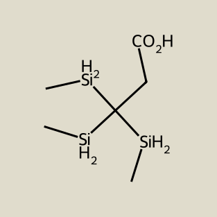 C[SiH2]C(CC(=O)O)([SiH2]C)[SiH2]C